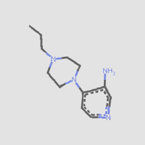 CCCN1CCN(c2ccncc2N)CC1